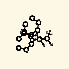 N#Cc1cc(-c2cc(-n3c4ccc(-c5ccnc(-c6ccccc6)c5)cc4c4cc(-c5ccnc(-c6ccccc6)c5)ccc43)c(-n3c4ccc(-c5cncc(-c6ccccc6)c5)cc4c4cc(-c5ccnc(-c6ccccc6)c5)ccc43)cc2C#N)cc(C(F)(F)F)c1